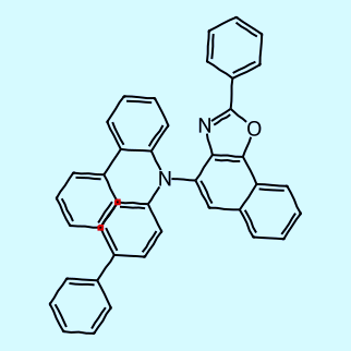 c1ccc(-c2ccc(N(c3ccccc3-c3ccccc3)c3cc4ccccc4c4oc(-c5ccccc5)nc34)cc2)cc1